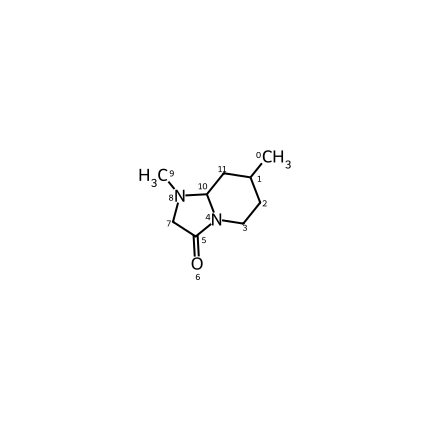 CC1CCN2C(=O)CN(C)C2C1